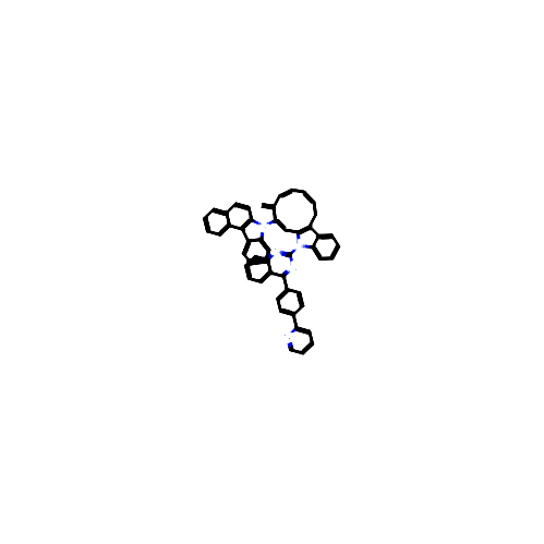 C=C1/C=C\C=C/Cc2c(n(-c3nc(-c4ccc(-c5ccccn5)cc4)c4ccccc4n3)c3ccccc23)/C=C\1n1c2ccccc2c2c3ccccc3ccc21